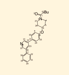 CCC(C)C(=O)N1CCC(Oc2ccc(-c3cncc(-c4ccccc4)c3)cc2)CC1